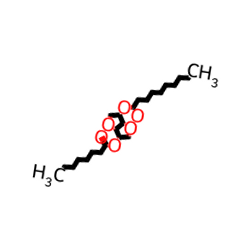 CCCCCCCCCC(=O)OC1COC2C(OC(=O)CCCCCCC)COC12